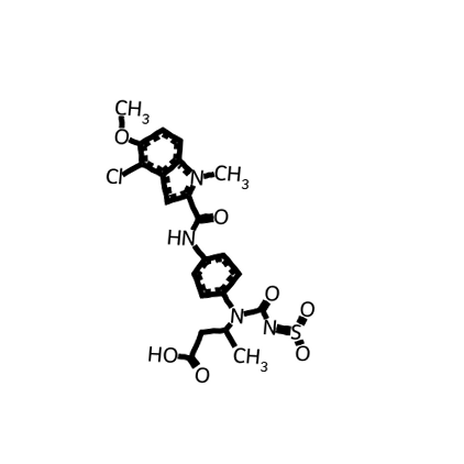 COc1ccc2c(cc(C(=O)Nc3ccc(N(C(=O)N=S(=O)=O)C(C)CC(=O)O)cc3)n2C)c1Cl